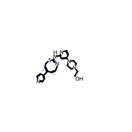 OCCN1CCN(c2ccnc(N/C3=N/C/C=C\C(c4ccncc4)=C/CS3)c2)CC1